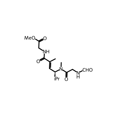 COC(=O)CNC(=O)/C(C)=C/[C@H](C(C)C)N(C)C(=O)CNC=O